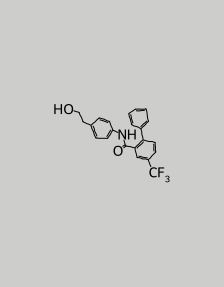 O=C(Nc1ccc(CCO)cc1)c1cc(C(F)(F)F)ccc1-c1ccccc1